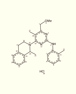 COCc1nc(Nc2ccccc2C)nc(N2CCc3ccccc3C2C)c1C.Cl